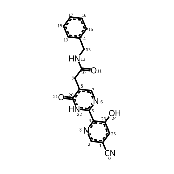 N#Cc1cnc(-c2ncc(CC(=O)NCc3ccccc3)c(=O)[nH]2)c(O)c1